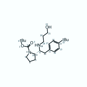 CC(C)(C)OC(=O)N1CCC[C@H]1C(Cc1ccc(C(C)(C)C)cc1)NCCCO